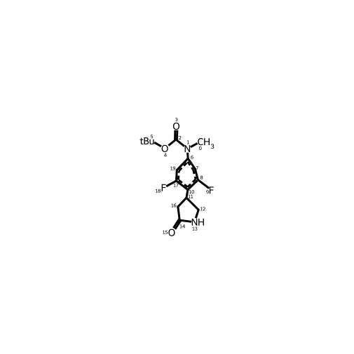 CN(C(=O)OC(C)(C)C)c1cc(F)c(C2CNC(=O)C2)c(F)c1